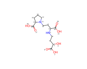 O=C(O)C(O)CCNC(CCN1CCCC1C(=O)O)C(=O)O